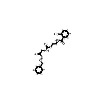 O=C(CNC(=O)OCCNC(=O)c1ccccc1O)OOCc1ccccc1